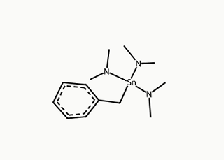 C[N](C)[Sn]([CH2]c1ccccc1)([N](C)C)[N](C)C